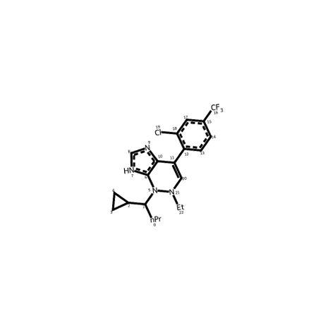 CCCC(C1CC1)N1c2[nH]cnc2C(c2ccc(C(F)(F)F)cc2Cl)=CN1CC